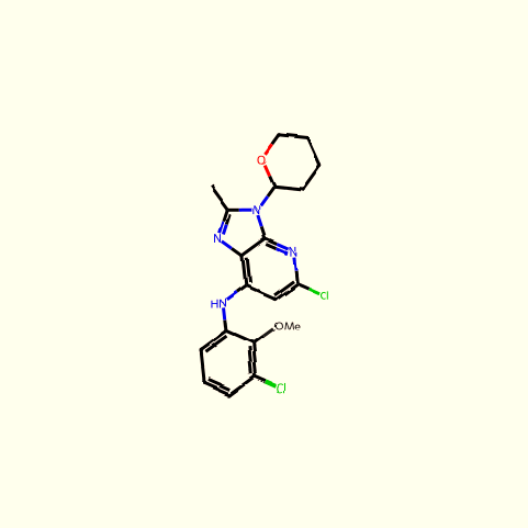 COc1c(Cl)cccc1Nc1cc(Cl)nc2c1nc(C)n2C1CCCCO1